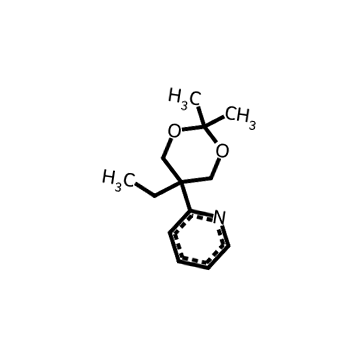 CCC1(c2ccccn2)COC(C)(C)OC1